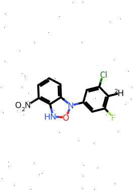 [2H]c1c(F)cc(N2ONc3c2cccc3[N+](=O)[O-])cc1Cl